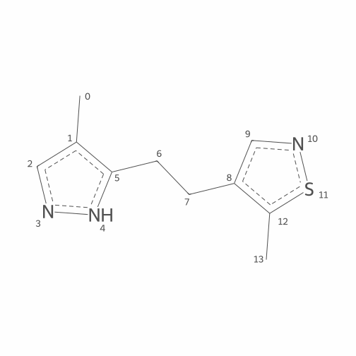 Cc1cn[nH]c1CCc1cnsc1C